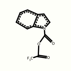 O=C(OC(=O)C(F)(F)F)n1ccc2ccccc21